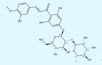 COc1ccc(/C=C/C(=O)c2c(O)cc(O[C@@H]3O[C@H](CO)[C@@H](O)[C@H](O)[C@H]3O[C@@H]3O[C@@H](C)[C@H](O)[C@@H](O)[C@H]3O)cc2O)cc1O